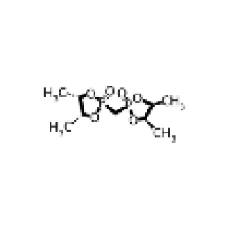 C[C@@H]1OP(=O)(CP2(=O)O[C@@H](C)[C@@H](C)O2)O[C@@H]1C